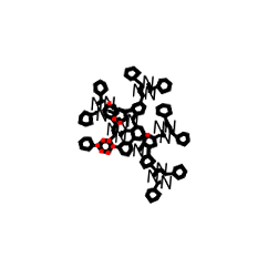 c1ccc(-c2ccc(-c3ccc(-n4c5ccc(-c6nc(-c7ccccc7)nc(-c7ccccc7)n6)cc5c5cc(-c6nc(-c7ccccc7)nc(-c7ccccc7)n6)ccc54)c(-c4cccc(-n5c6ccc(-c7nc(-c8ccccc8)nc(-c8ccccc8)n7)cc6c6cc(-c7nc(-c8ccccc8)nc(-c8ccccc8)n7)ccc65)c4-c4nc(-c5ccccc5)nc(-c5ccccc5)n4)c3)cc2)cc1